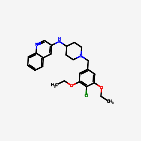 CCOc1cc(CN2CCC(Nc3cnc4ccccc4c3)CC2)cc(OCC)c1Cl